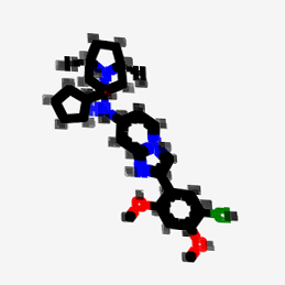 COc1cc(OC)c(-c2cn3ccc(N[C@@H]4C[C@H]5CC[C@@H](C4)N5CC4CCCC4)cc3n2)cc1Cl